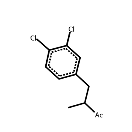 CC(=O)C(C)Cc1ccc(Cl)c(Cl)c1